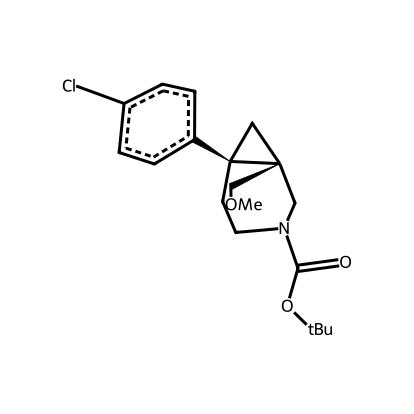 COC[C@@]12CN(C(=O)OC(C)(C)C)CC[C@]1(c1ccc(Cl)cc1)C2